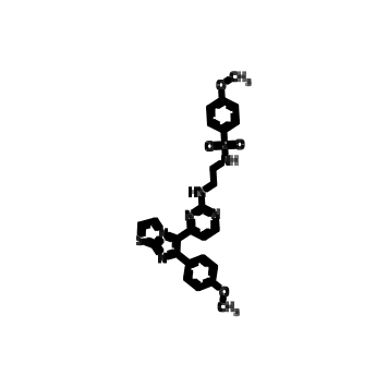 COc1ccc(-c2nc3sccn3c2-c2ccnc(NCCNS(=O)(=O)c3ccc(OC)cc3)n2)cc1